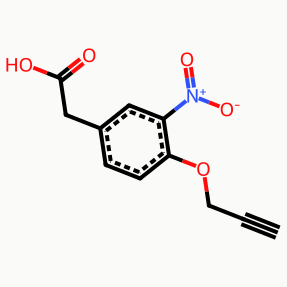 C#CCOc1ccc(CC(=O)O)cc1[N+](=O)[O-]